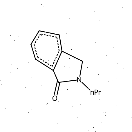 [CH2]CCN1Cc2ccccc2C1=O